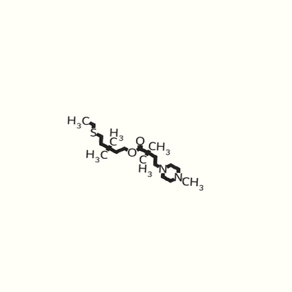 CCSCCC(C)(C)CCOC(=O)C(C)(C)CCN1CCN(C)CC1